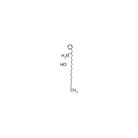 CCCCCCCCCCCCCCCCCC(CN)Cc1ccccc1.Cl